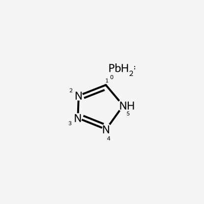 [PbH2].c1nnn[nH]1